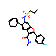 CCCS(=O)(=O)Nc1cc2oc(-c3ccc(F)cc3)c(C(=O)NC)c2cc1-c1ccccc1